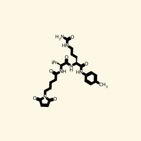 Cc1ccc(NC(=O)[C@H](CCCNC(N)=O)NC(=O)[C@@H](NC(=O)CCCCN2C(=O)C=CC2=O)C(C)C)cc1